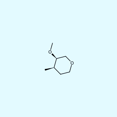 CO[C@H]1COCC[C@H]1C